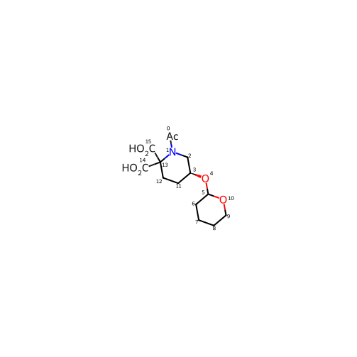 CC(=O)N1C[C@@H](OC2CCCCO2)CCC1(C(=O)O)C(=O)O